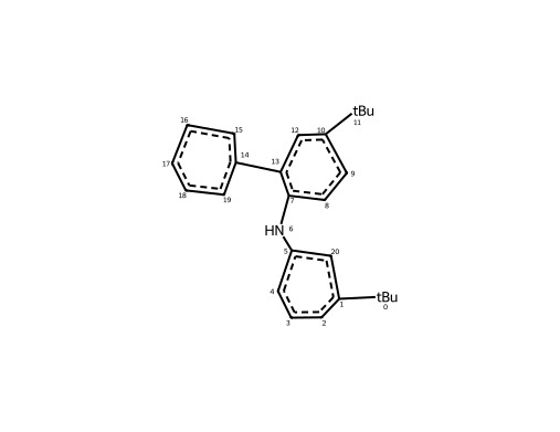 CC(C)(C)c1cccc(Nc2ccc(C(C)(C)C)cc2-c2ccccc2)c1